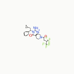 Nc1nc2c(c(=O)n1C(CC1CC1)c1ccccc1)CCN(C(=O)CC(C(F)(F)F)C(F)(F)F)C2